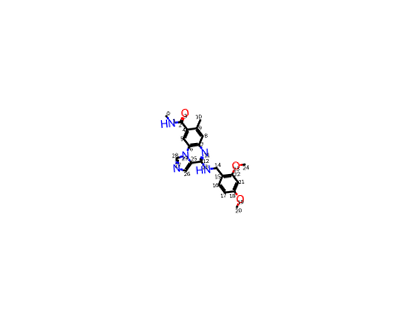 CNC(=O)c1cc2c(cc1C)nc(NCc1ccc(OC)cc1OC)c1cncn12